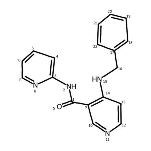 O=C(Nc1ccccn1)c1cnccc1NCc1ccccc1